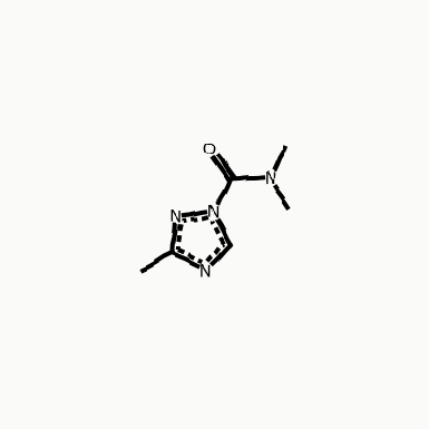 Cc1ncn(C(=O)N(C)C)n1